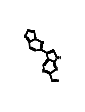 CNc1ncc2c(-c3ccc4nccn4n3)c[nH]c2n1